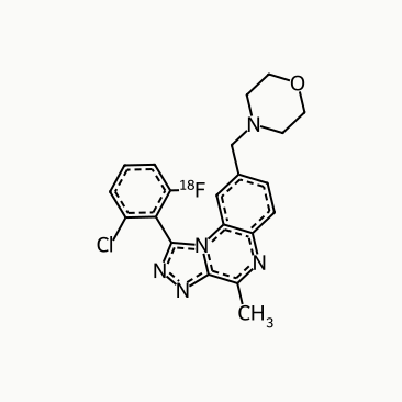 Cc1nc2ccc(CN3CCOCC3)cc2n2c(-c3c([18F])cccc3Cl)nnc12